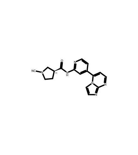 N#CN1CC[C@H](C(=O)Nc2cc(-c3ccnc4nccn34)ccn2)C1